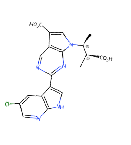 C[C@H](C(=O)O)[C@H](C)n1cc(C(=O)O)c2cnc(-c3c[nH]c4ncc(Cl)cc34)nc21